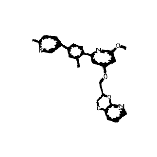 COc1cc(OCC2COc3cccnc3O2)cc(-c2ccc(-c3ccc(C)nc3)cc2C)n1